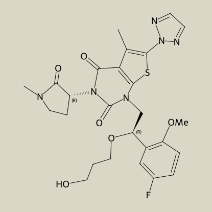 COc1ccc(F)cc1[C@H](Cn1c(=O)n([C@@H]2CCN(C)C2=O)c(=O)c2c(C)c(-n3nccn3)sc21)OCCCO